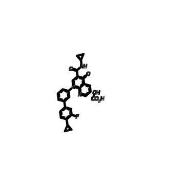 O=C(NC1CC1)c1cn(-c2cccc(-c3ccc(C4CC4)c(F)c3)c2)c2ncccc2c1=O.O=C(O)O